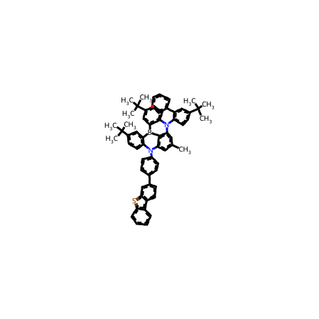 Cc1cc2c3c(c1)N(c1ccc(C(C)(C)C)cc1-c1ccccc1)c1ccc(C(C)(C)C)cc1B3c1cc(C(C)(C)C)ccc1N2c1ccc(-c2ccc3c(c2)sc2ccccc23)cc1